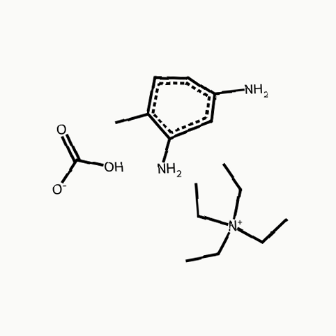 CC[N+](CC)(CC)CC.Cc1ccc(N)cc1N.O=C([O-])O